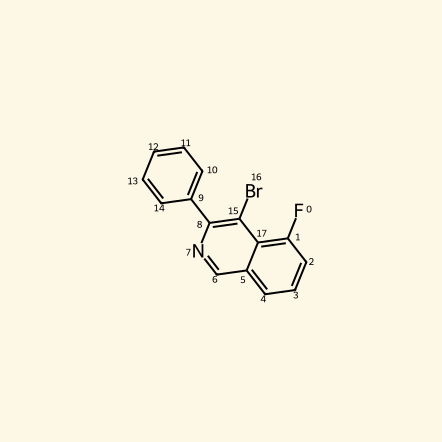 Fc1cccc2cnc(-c3ccccc3)c(Br)c12